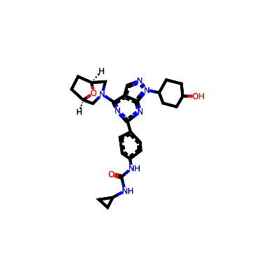 O=C(Nc1ccc(-c2nc(N3C[C@H]4CC[C@@H](C3)O4)c3cnn(C4CCC(O)CC4)c3n2)cc1)NC1CC1